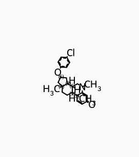 CN1C[C@H]2[C@@H]3C[C@H](Oc4ccc(Cl)cc4)C[C@@]3(C)CC[C@@H]2[C@@]2(C)C=CC(=O)C=C12